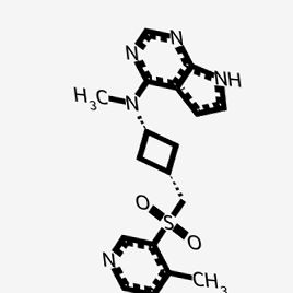 Cc1ccncc1S(=O)(=O)C[C@H]1C[C@@H](N(C)c2ncnc3[nH]ccc23)C1